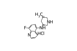 C[C@@H]1CNC[C@H](Nc2ccc(F)c3ncccc23)C1.Cl